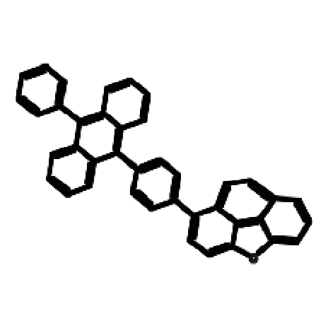 c1ccc(-c2c3ccccc3c(-c3ccc(-c4ccc5oc6cccc7ccc4c5c76)cc3)c3ccccc23)cc1